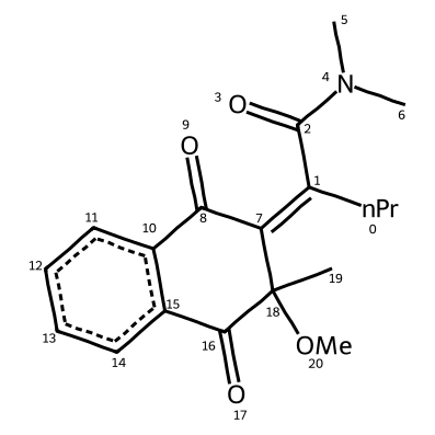 CCC/C(C(=O)N(C)C)=C1/C(=O)c2ccccc2C(=O)C1(C)OC